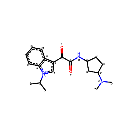 CC(C)n1cc(C(=O)C(=O)NC2CCC(N(C)C)C2)c2ccccc21